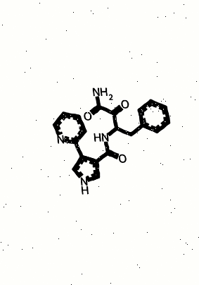 NC(=O)C(=O)C(Cc1ccccc1)NC(=O)c1c[nH]cc1-c1ccccn1